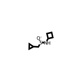 [O-][S+](CC1CC1)NC1CCC1